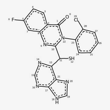 O=c1c2ccc(F)cc2nc(C(S)c2ncnc3[nH]cnc23)n1-c1ccccc1Cl